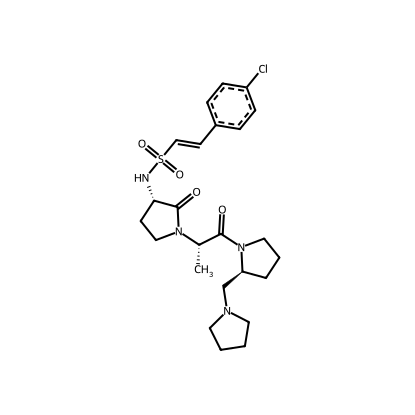 C[C@@H](C(=O)N1CCC[C@H]1CN1CCCC1)N1CC[C@H](NS(=O)(=O)/C=C/c2ccc(Cl)cc2)C1=O